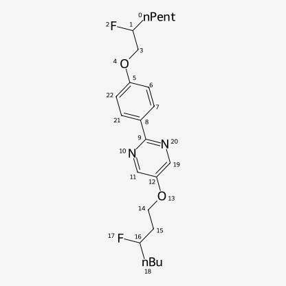 CCCCCC(F)COc1ccc(-c2ncc(OCCC(F)CCCC)cn2)cc1